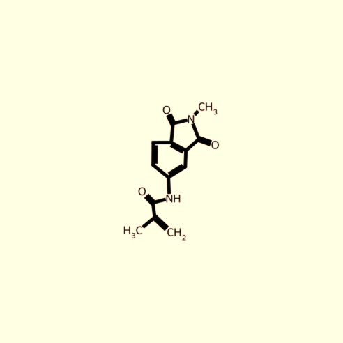 C=C(C)C(=O)Nc1ccc2c(c1)C(=O)N(C)C2=O